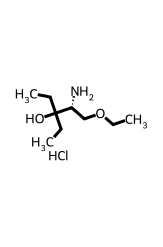 CCOC[C@@H](N)C(O)(CC)CC.Cl